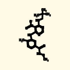 CONC(=O)c1ccc(C)c(Nc2ncnc(NCC(C)(C)C)c2[N+](=O)[O-])c1